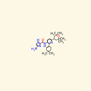 CC1(C)CC=C(c2nc(C3CC(C)(C)OC(C)(C)C3)ccc2NC(=O)c2nc(N)c[nH]2)CC1